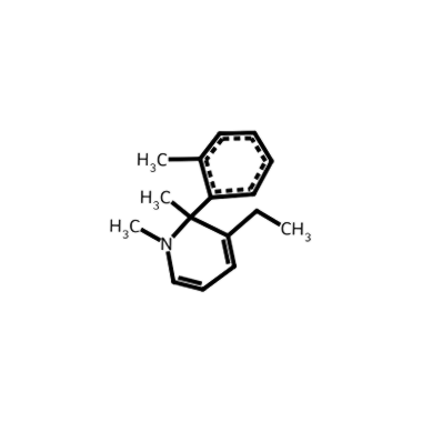 CCC1=CC=CN(C)C1(C)c1ccccc1C